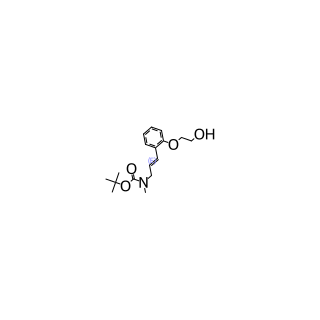 CN(C/C=C/c1ccccc1OCCO)C(=O)OC(C)(C)C